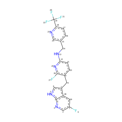 Fc1cnc2[nH]cc(Cc3ccc(NCc4ccc(C(F)(F)F)nc4)nc3F)c2c1